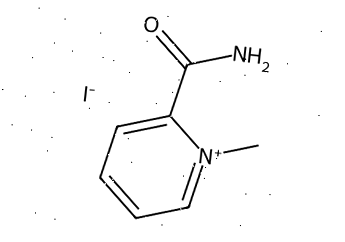 C[n+]1ccccc1C(N)=O.[I-]